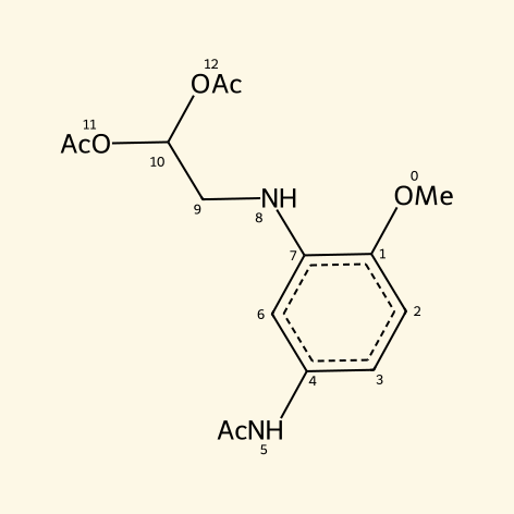 COc1ccc(NC(C)=O)cc1NCC(OC(C)=O)OC(C)=O